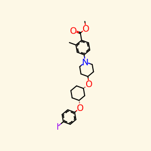 COC(=O)c1ccc(N2CCC(O[C@H]3CCC[C@@H](Oc4ccc(I)cc4)C3)CC2)cc1C